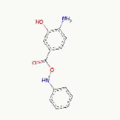 Nc1ccc(C(=O)ONc2ccccc2)cc1O